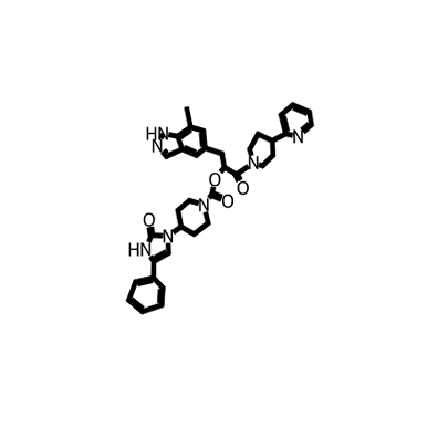 Cc1cc(CC(OC(=O)N2CCC(n3cc(-c4ccccc4)[nH]c3=O)CC2)C(=O)N2CCC(c3ccccn3)CC2)cc2cn[nH]c12